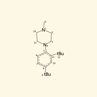 CN1CCN(c2ccc(C(C)(C)C)cc2C(C)(C)C)CC1